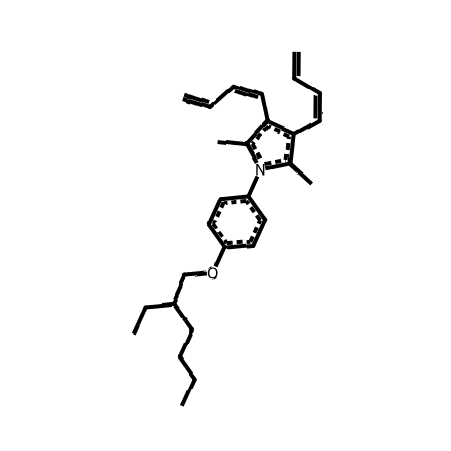 C=C/C=C\c1c(/C=C\C=C)c(C)n(-c2ccc(OCC(CC)CCCC)cc2)c1C